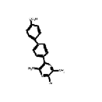 CC(=O)c1nc(N)c(-c2ccc(-c3ccc(C(=O)O)cc3)cc2)nc1N